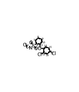 O=C=NS(=O)(=O)c1ccccc1Oc1ccc(Cl)cc1Cl